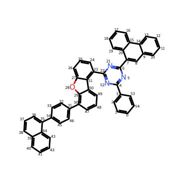 c1ccc(-c2nc(-c3cc4ccccc4c4ccccc34)nc(-c3cccc4oc5c(-c6ccc(-c7cccc8ccccc78)cc6)cccc5c34)n2)cc1